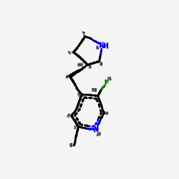 Cc1cc(C[C@H]2CCNC2)c(F)cn1